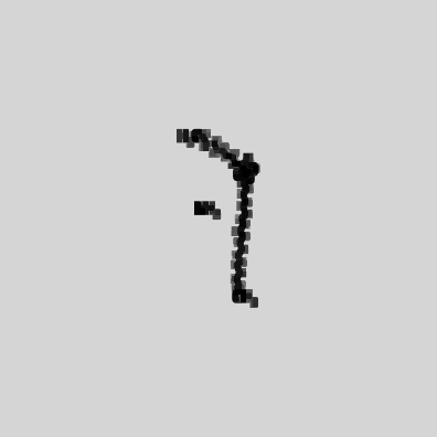 CCCCCCCCCCCCCCCCCCCCOS(=O)(=O)C(F)CCCCCCCCC.N